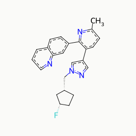 Cc1ccc(-c2cnn(C[C@@H]3CC[C@H](F)C3)c2)c(-c2ccc3cccnc3c2)n1